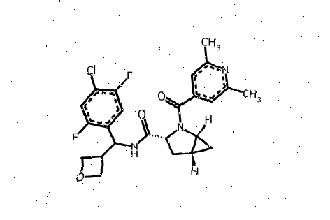 Cc1cc(C(=O)N2[C@@H](C(=O)NC(c3cc(F)c(Cl)cc3F)C3COC3)C[C@H]3C[C@H]32)cc(C)n1